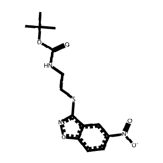 CC(C)(C)OC(=O)NCCSc1noc2ccc([N+](=O)[O-])cc12